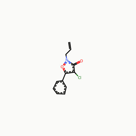 C=CCn1oc(-c2ccccc2)c(Cl)c1=O